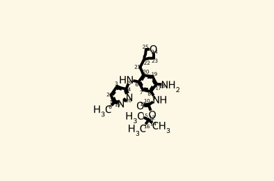 Cc1ccc(Nc2cc(NC(=O)OC(C)(C)C)c(N)cc2CC2COC2)nn1